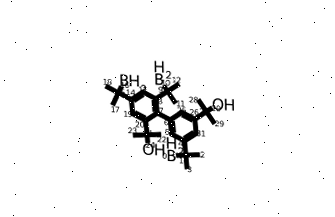 BC(C)(C)c1cc(-c2c(C(B)(C)C)cc(C(B)(C)C)cc2C(C)(C)O)cc(C(C)(C)O)c1